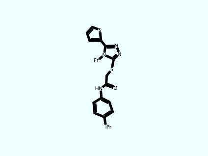 CCn1c(SCC(=O)Nc2ccc(C(C)C)cc2)nnc1-c1cccs1